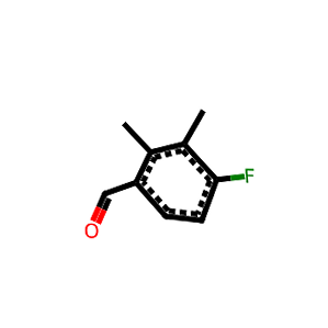 Cc1c(F)ccc(C=O)c1C